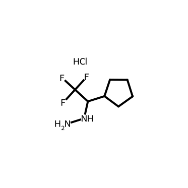 Cl.NNC(C1CCCC1)C(F)(F)F